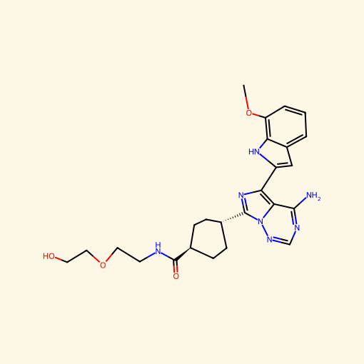 COc1cccc2cc(-c3nc([C@H]4CC[C@H](C(=O)NCCOCCO)CC4)n4ncnc(N)c34)[nH]c12